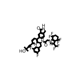 CC(C)(O)C#Cc1ccc(-c2ccc3c(c2)C(=O)NC3)c(C(Cc2cc(F)cc(F)c2)NC(=O)Cn2nc(C(F)F)c3c2C(F)(F)CCC3(F)F)n1